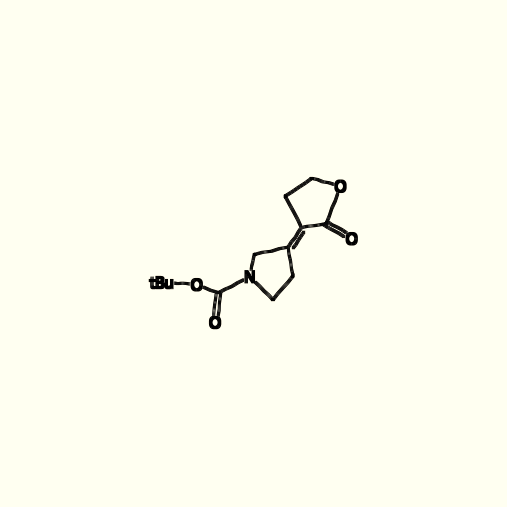 CC(C)(C)OC(=O)N1CC/C(=C2/CCOC2=O)C1